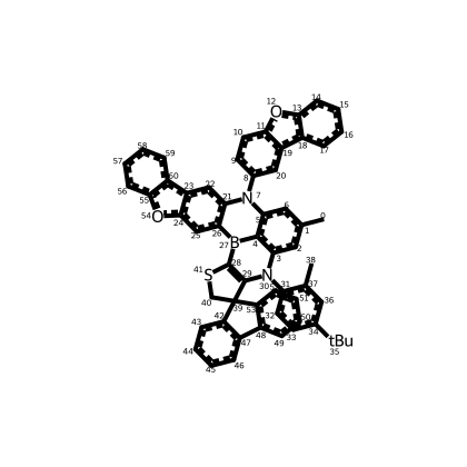 Cc1cc2c3c(c1)N(c1ccc4oc5ccccc5c4c1)c1cc4c(cc1B3C1=C(N2c2ccc(C(C)(C)C)cc2C)C2(CS1)c1ccccc1-c1ccccc12)oc1ccccc14